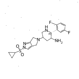 NC1CC(N2Cc3cn(S(=O)(=O)C4CC4)nc3C2)CN[C@@H]1c1cc(F)ccc1F